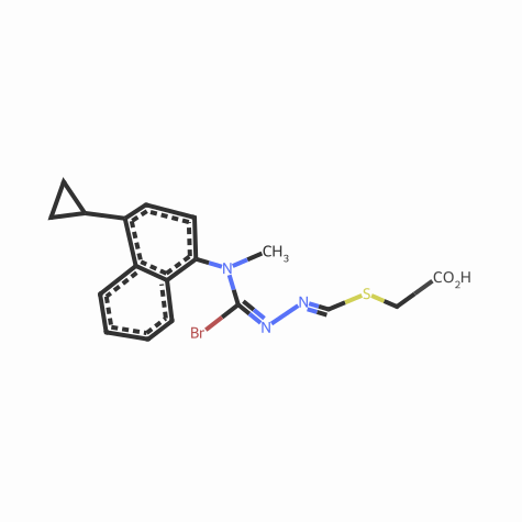 CN(/C(Br)=N\N=C\SCC(=O)O)c1ccc(C2CC2)c2ccccc12